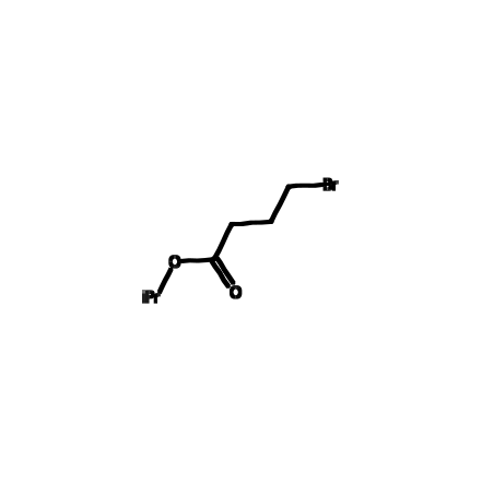 [CH2]C([CH2])OC(=O)CCCBr